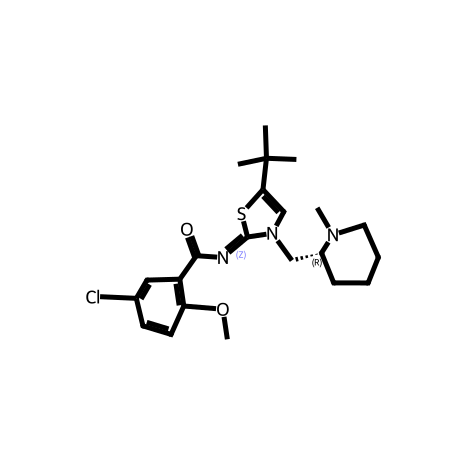 COc1ccc(Cl)cc1C(=O)/N=c1\sc(C(C)(C)C)cn1C[C@H]1CCCCN1C